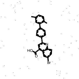 Cc1ccc(C)c(-c2ccc(-c3cc(C(=O)O)c4cc(Br)ccc4n3)cc2)c1